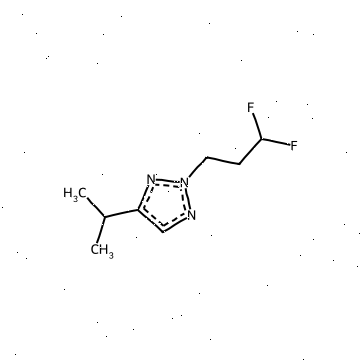 CC(C)c1cnn(CCC(F)F)n1